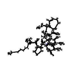 CCCCCCN(C)C(=O)[C@@H]1CCCN1C(=O)/C(C)=C/[C@H](C(C)C)N(C)C(=O)[C@@H](NC(=O)[C@H]1CCCCN1C(C)C)C(C)(C)C